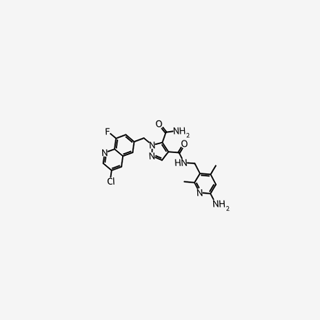 Cc1cc(N)nc(C)c1CNC(=O)c1cnn(Cc2cc(F)c3ncc(Cl)cc3c2)c1C(N)=O